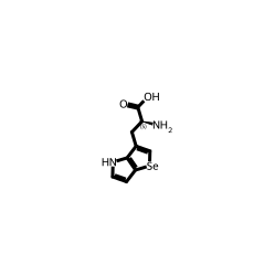 N[C@@H](Cc1c[se]c2cc[nH]c12)C(=O)O